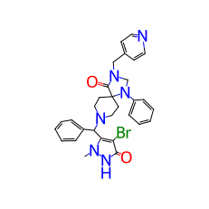 Cn1[nH]c(=O)c(Br)c1C(c1ccccc1)N1CCC2(CC1)C(=O)N(Cc1ccncc1)CN2c1ccccc1